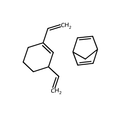 C1=CC2C=CC1C2.C=CC1=CC(C=C)CCC1